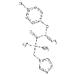 C=C(Oc1ccc(Cl)cc1)C(=O)C(C)(C)Cn1ccnc1